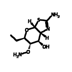 CC[C@H]1O[C@@H]2SC(N)=N[C@@H]2[C@@H](O)[C@@H]1ON